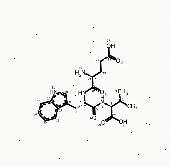 CC(C)[C@H](NC(=O)[C@H](Cc1c[nH]c2ccccc12)NC(=O)[C@@H](N)CCC(=O)O)C(=O)O